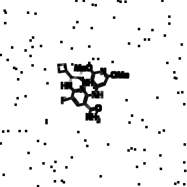 COc1cc(Nc2nc(N[C@H](C3CCC3)[C@H](C)N)c(F)cc2C(N)=O)cc(OC)n1